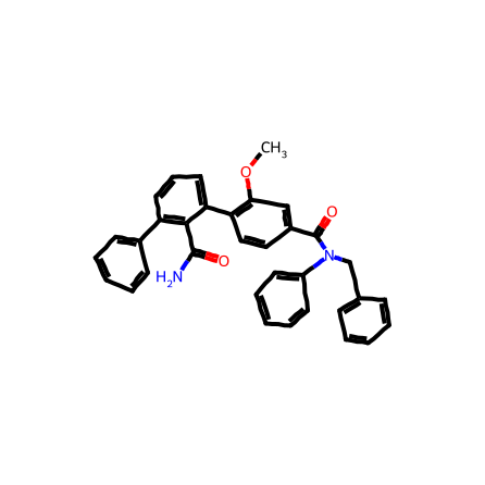 COc1cc(C(=O)N(Cc2ccccc2)c2ccccc2)ccc1-c1cccc(-c2ccccc2)c1C(N)=O